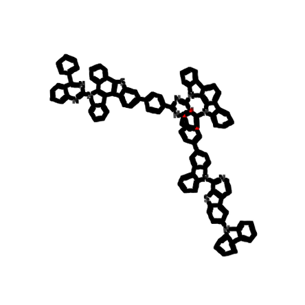 c1ccc(-c2nc(-n3c4ccccc4c4c5c6ccc(-c7ccc(-c8nc(-c9ccc(-c%10ccc%11c(c%10)c%10ccccc%10n%11-c%10nccc%11c%10sc%10ccc(-n%12c%13ccccc%13c%13ccccc%13%12)cc%10%11)cc9)nc(-n9c%10ccccc%10c%10ccc%11c%12ccccc%12n(-c%12ccccc%12)c%11c%109)n8)cc7)cc6sc5c5ccccc5c43)nc3ccccc23)cc1